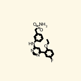 CCOc1ccc(F)cc1-c1cc(Nc2cccc(CS(N)(=O)=O)c2)ncn1